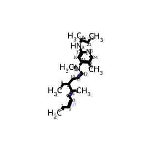 C=C/C=C\C=C(/C)C(CC)C/C=C\N(C)c1cc(NC(C)CC)ncc1C